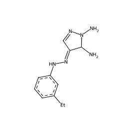 CCc1cccc(NN=C2C=NN(N)C2N)c1